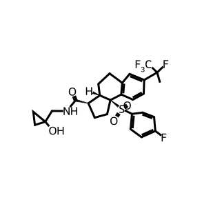 CC(F)(c1ccc2c(c1)CC[C@H]1[C@H](C(=O)NCC3(O)CC3)CC[C@@]21S(=O)(=O)c1ccc(F)cc1)C(F)(F)F